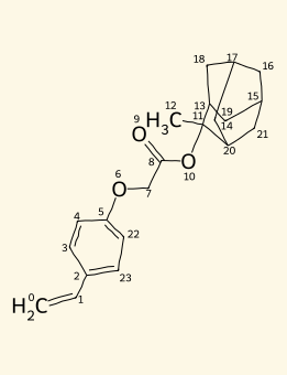 C=Cc1ccc(OCC(=O)OC2(C)C3CC4CC(C3)CC2C4)cc1